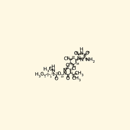 CCCC[C@H](NC)C(=O)OCn1nc(Oc2c(Cl)cc(-n3nc(N)c(=O)[nH]c3=O)cc2Cl)cc(C(C)C)c1=O